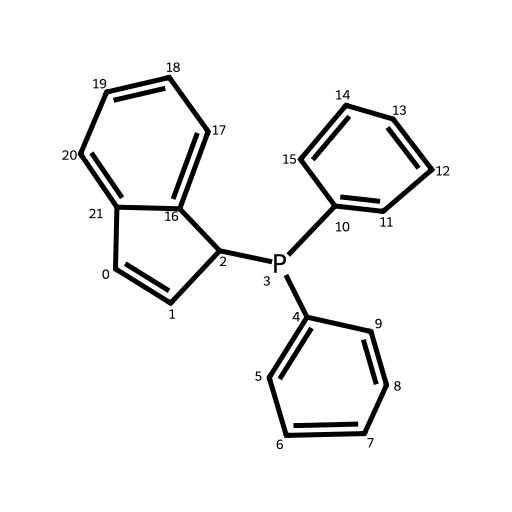 C1=CC(P(c2ccccc2)c2ccccc2)c2ccccc21